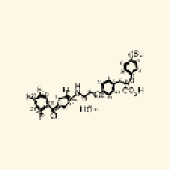 CC(C)(C)c1ccc(O[C@@H](Cc2ccc(OCCN[C@H]3C4CN(C(=O)c5cc(F)c(F)cc5F)C[C@@H]43)cc2)C(=O)O)cc1.Cl